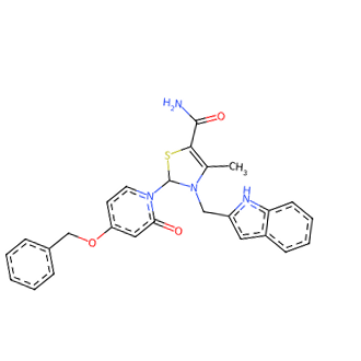 CC1=C(C(N)=O)SC(n2ccc(OCc3ccccc3)cc2=O)N1Cc1cc2ccccc2[nH]1